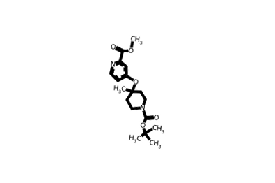 COC(=O)c1cc(OC2(C)CCN(C(=O)OC(C)(C)C)CC2)ccn1